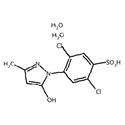 Cc1cc(O)n(-c2cc(Cl)c(S(=O)(=O)O)cc2Cl)n1.O.O